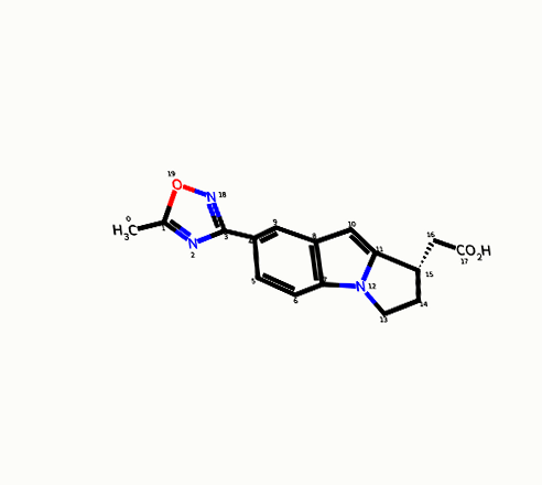 Cc1nc(-c2ccc3c(c2)cc2n3CC[C@H]2CC(=O)O)no1